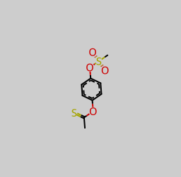 CC(=S)Oc1ccc(OS(C)(=O)=O)cc1